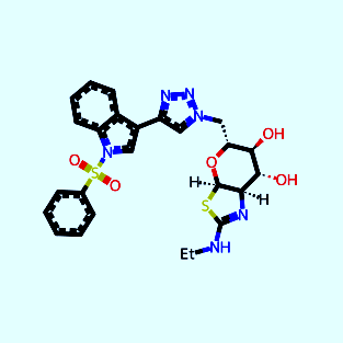 CCNC1=N[C@@H]2[C@@H](O)[C@H](O)[C@@H](Cn3cc(-c4cn(S(=O)(=O)c5ccccc5)c5ccccc45)nn3)O[C@@H]2S1